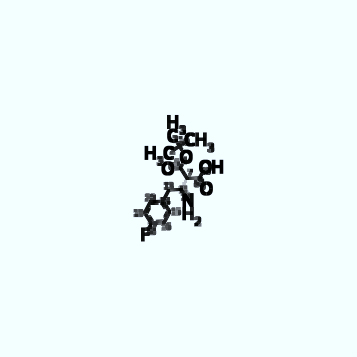 CC(C)(C)OC(=O)[C@H](C(=O)O)C(N)Cc1ccc(F)cc1